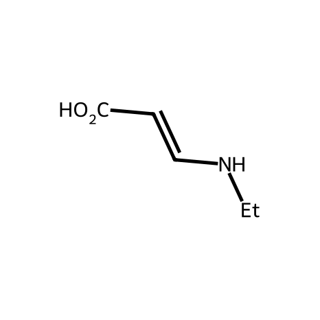 CCN/C=C/C(=O)O